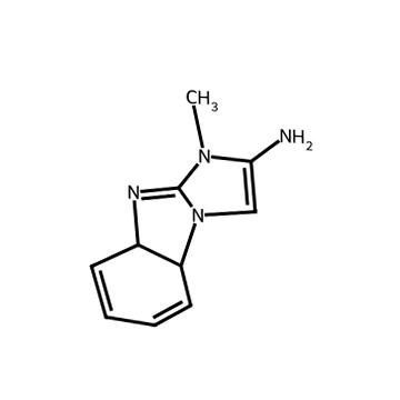 CN1C(N)=CN2C1=NC1C=CC=CC12